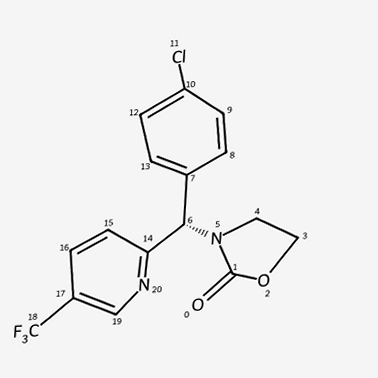 O=C1OCCN1[C@@H](c1ccc(Cl)cc1)c1ccc(C(F)(F)F)cn1